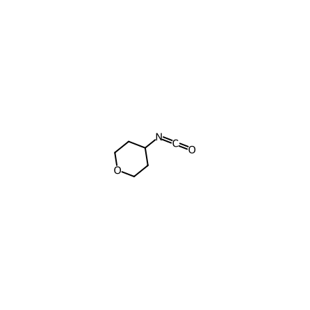 O=C=NC1CCOCC1